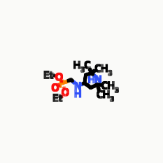 CCOP(=O)(CNC1CC(C)(C)NC(C)(C)C1)OCC